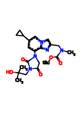 CN(Cc1cn2cc(C3CC3)cc(N3CC(=O)N(CC(C)(C)O)C3=O)c2n1)C(=O)OC(C)(C)C